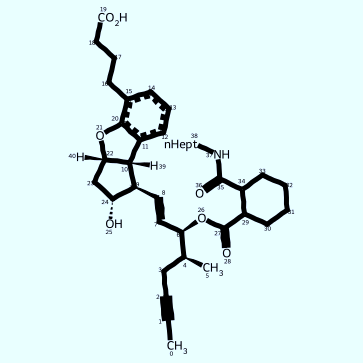 CC#CC[C@H](C)[C@@H](/C=C/[C@@H]1[C@H]2c3cccc(CCCC(=O)O)c3O[C@H]2C[C@H]1O)OC(=O)C1CCCCC1C(=O)NCCCCCCC